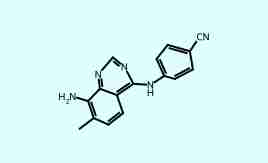 Cc1ccc2c(Nc3ccc(C#N)cc3)ncnc2c1N